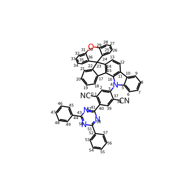 N#Cc1cc(-n2c3ccccc3c3ccc4c(c32)-c2ccccc2C42c3ccccc3Oc3ccccc32)c(C#N)cc1-c1nc(-c2ccccc2)nc(-c2ccccc2)n1